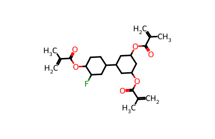 C=C(C)C(=O)OC1CC(OC(=O)C(=C)C)CC(C2CCC(OC(=O)C(=C)C)C(F)C2)C1